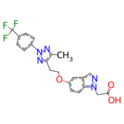 Cc1nn(-c2ccc(C(F)(F)F)cc2)nc1CCOc1ccc2c(cnn2CC(=O)O)c1